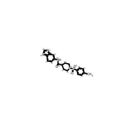 Cc1ccc(S(=O)(=O)N2CCC(C(=O)Nc3ccc4scnc4c3)CC2)cc1